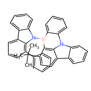 CC(C)(C)c1ccc2c3ccccc3n3c2c1B(n1c2ccccc2c2cccc(-c4ccccc4)c21)c1ccccc1-3